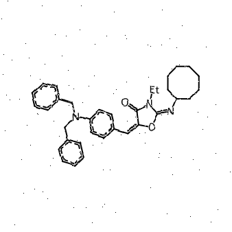 CCN1C(=O)/C(=C\c2ccc(N(Cc3ccccc3)Cc3ccccc3)cc2)OC1=NC1CCCCCCC1